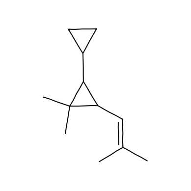 CC(C)=CC1C(C2CC2)C1(C)C